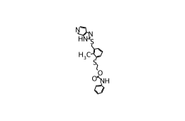 Cc1c(CSc2nc3ccncc3[nH]2)cccc1SCCOC(=O)Nc1ccccc1